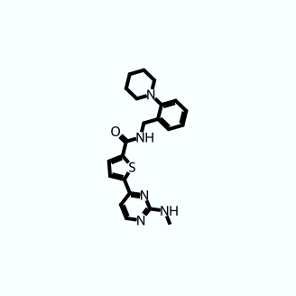 CNc1nccc(-c2ccc(C(=O)NCc3ccccc3N3CCCCC3)s2)n1